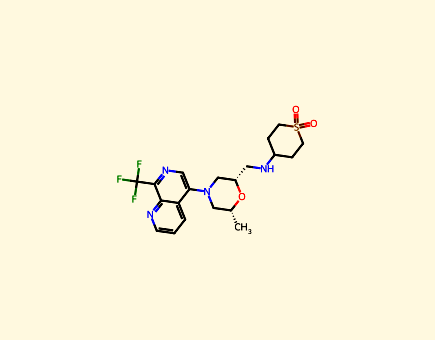 C[C@@H]1CN(c2cnc(C(F)(F)F)c3ncccc23)C[C@H](CNC2CCS(=O)(=O)CC2)O1